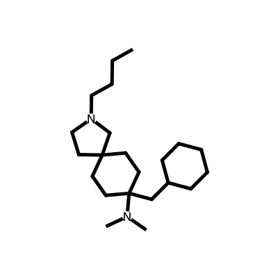 CCCCN1CCC2(CCC(CC3CCCCC3)(N(C)C)CC2)C1